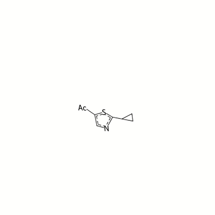 CC(=O)c1cnc(C2CC2)s1